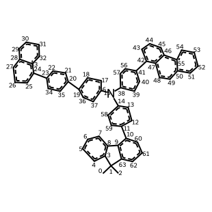 CC1(C)c2ccccc2-c2c(-c3ccc(N(c4ccc(-c5ccc(-c6cccc7ccccc67)cc5)cc4)c4ccc(-c5cccc6c5ccc5ccccc56)cc4)cc3)cccc21